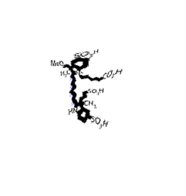 COCCC1(C)C(/C=C/C=C/C=C/C=C2/Nc3ccc(S(=O)(=O)O)cc3C2(C)CCCS(=O)(=O)O)=[N+](CCCCCC(=O)O)c2ccc(S(=O)(=O)O)cc21